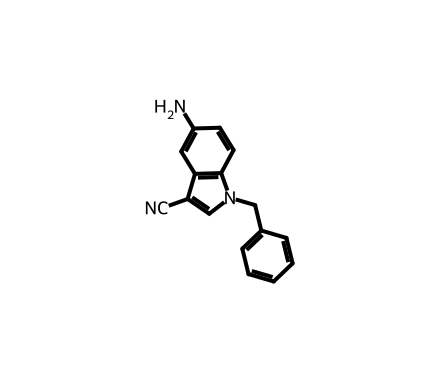 N#Cc1cn(Cc2ccccc2)c2ccc(N)cc12